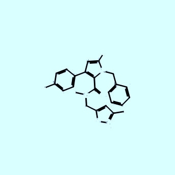 Cc1cc(CN(C)C(=O)c2c(-c3ccc(Cl)cc3)cc(C(F)(F)F)n2Cc2ccccc2)on1